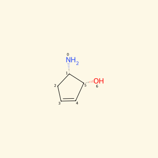 N[C@H]1CC=C[C@H]1O